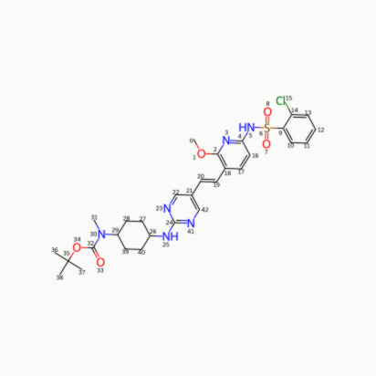 COc1nc(NS(=O)(=O)c2ccccc2Cl)ccc1/C=C/c1cnc(NC2CCC(N(C)C(=O)OC(C)(C)C)CC2)nc1